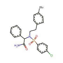 CC(C)(C)c1ccc(CCN(C(C(N)=O)c2ccccc2)S(=O)(=O)c2ccc(Cl)cc2)cc1